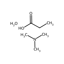 CCC(=O)O.CN(C)C.O